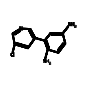 Nc1ccc(N)c(-c2cncc(Cl)c2)c1